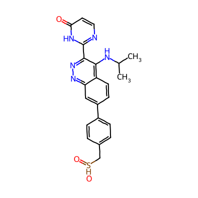 CC(C)Nc1c(-c2nccc(=O)[nH]2)nnc2cc(-c3ccc(C[SH](=O)=O)cc3)ccc12